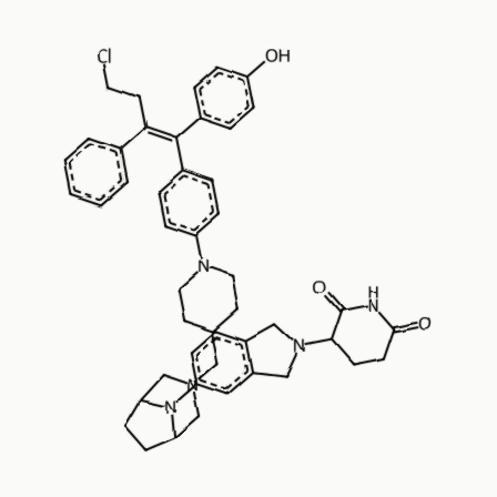 O=C1CCC(N2Cc3ccc(N4C5CCC4CN(CC4CCN(c6ccc(C(=C(CCCl)c7ccccc7)c7ccc(O)cc7)cc6)CC4)C5)cc3C2)C(=O)N1